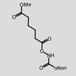 CCCCCCCCCC(=O)NOC(=O)CCCCC(=O)OC